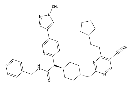 C#Cc1cnc(C[C@H]2CC[C@H](C(C(=O)NCc3ccccc3)c3ccc(-c4cnn(C)c4)cn3)CC2)nc1CCC1CCCC1